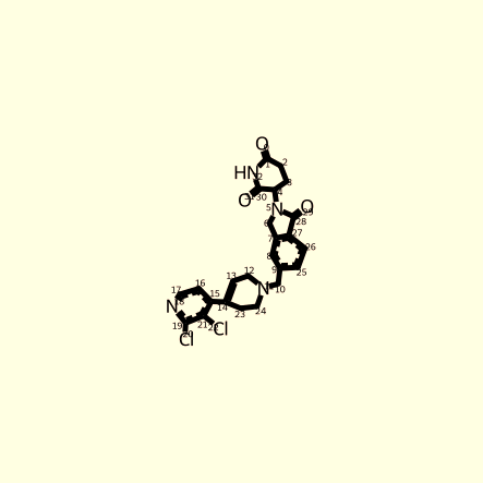 O=C1CCC(N2Cc3cc(CN4CC=C(c5ccnc(Cl)c5Cl)CC4)ccc3C2=O)C(=O)N1